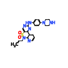 C=CCN1c2ncccc2-c2nc(Nc3ccc(N4CCNCC4)cc3)ncc2S1(=O)=O